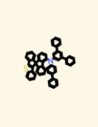 c1ccc(-c2ccc(N(c3cc(-c4ccccc4)cc(-c4ccccc4)c3)c3cccc4c3-c3ccccc3C43c4ccccc4-c4sc5ccccc5c43)cc2)cc1